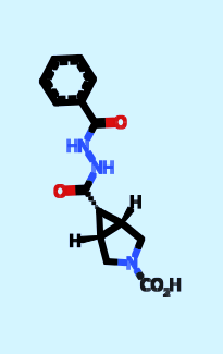 O=C(NNC(=O)[C@@H]1[C@@H]2CN(C(=O)O)C[C@@H]21)c1ccccc1